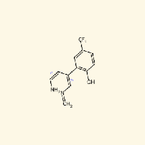 C=N/C=C(\C=C/N)c1cc(C(F)(F)F)ccc1O